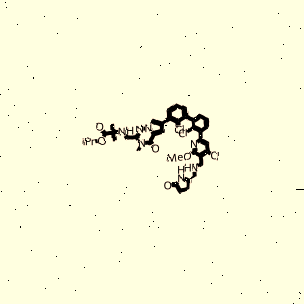 COc1nc(-c2cccc(-c3cccc(-c4cc5c(=O)n(C)c(CNC(C)(C)C(=O)OC(C)C)nn5c4)c3Cl)c2Cl)cc(Cl)c1CNC[C@H]1CCC(=O)N1